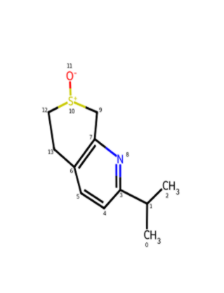 CC(C)c1ccc2c(n1)C[S+]([O-])CC2